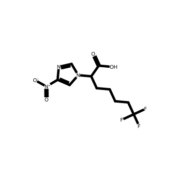 O=C(O)C(CCCCC(F)(F)F)n1cnc([N+](=O)[O-])c1